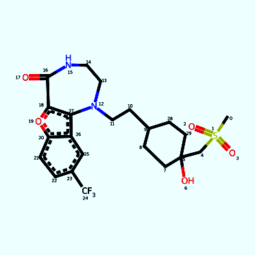 CS(=O)(=O)CC1(O)CCC(CCN2CCNC(=O)c3oc4ccc(C(F)(F)F)cc4c32)CC1